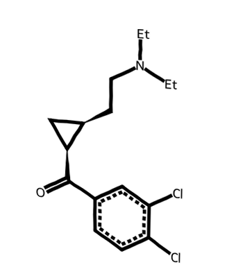 CCN(CC)CC[C@@H]1C[C@@H]1C(=O)c1ccc(Cl)c(Cl)c1